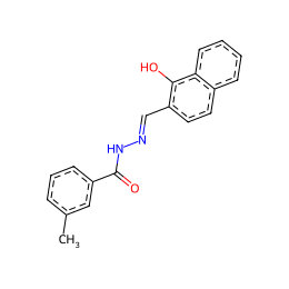 Cc1cccc(C(=O)N/N=C/c2ccc3ccccc3c2O)c1